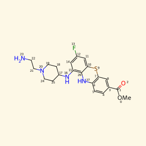 COC(=O)c1ccc2c(c1)Sc1cc(F)cc(NC3CCN(CCN)CC3)c1N2